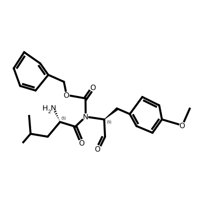 COc1ccc(C[C@@H](C=O)N(C(=O)OCc2ccccc2)C(=O)[C@@H](N)CC(C)C)cc1